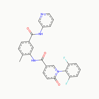 Cc1ccc(C(=O)Nc2cccnc2)cc1NC(=O)c1ccc(=O)n(-c2c(F)cccc2F)c1